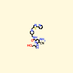 C[C@@H](CCO)Nc1nc(C(=O)NCC2CCN(Cc3cnc(-c4ccccn4)s3)CC2)cc(N)c1C#N